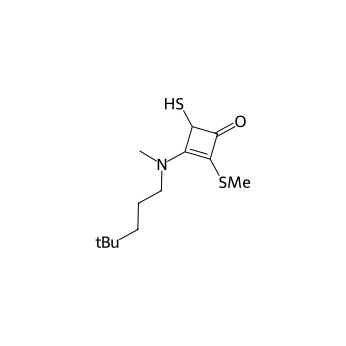 CSC1=C(N(C)CCCC(C)(C)C)C(S)C1=O